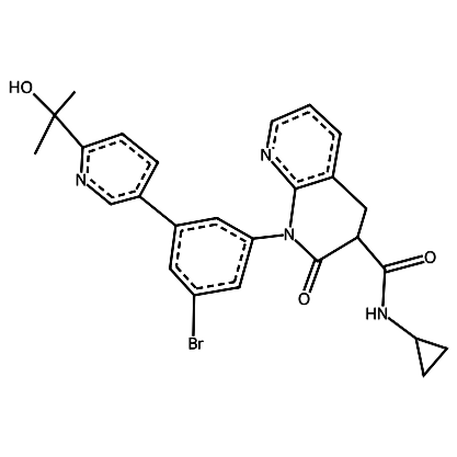 CC(C)(O)c1ccc(-c2cc(Br)cc(N3C(=O)C(C(=O)NC4CC4)Cc4cccnc43)c2)cn1